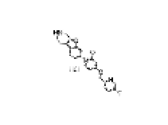 Cl.O=c1cc(OCc2ccc(F)cn2)ccn1-c1ccc2c3c(oc2c1)CNCC3